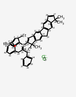 CCC1C=C(C(C)(C)C)C=[C]1[Zr+2]([C]1=Cc2cc3c(cc2C1(C)C)Cc1cc2c(cc1-3)C=CC2(C)C)=[C](Cc1ccccc1)Cc1ccccc1.[Cl-].[Cl-]